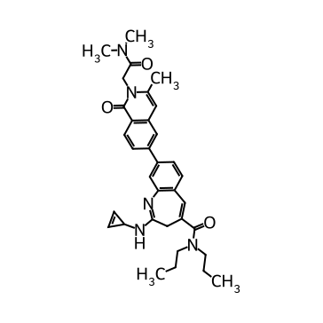 CCCN(CCC)C(=O)C1=Cc2ccc(-c3ccc4c(=O)n(CC(=O)N(C)C)c(C)cc4c3)cc2N=C(NC2C=C2)C1